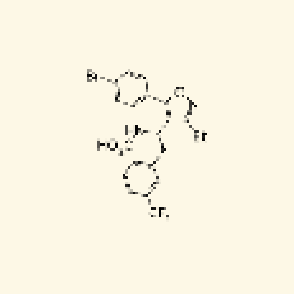 CCc1noc(-c2ccc(Br)cc2)c1[C@@H](Cc1cccc(C(F)(F)F)c1)NC(=O)O